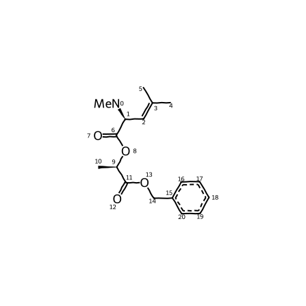 CN[C@@H](C=C(C)C)C(=O)O[C@H](C)C(=O)OCc1ccccc1